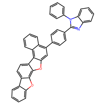 c1ccc(-n2c(-c3ccc(-c4cc5oc6c(ccc7c8ccccc8oc76)c5c5ccccc45)cc3)nc3ccccc32)cc1